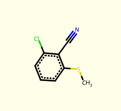 CSc1cccc(Cl)c1C#N